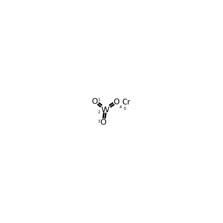 [Cr].[O]=[W](=[O])=[O]